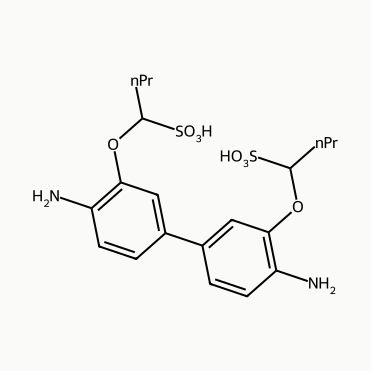 CCCC(Oc1cc(-c2ccc(N)c(OC(CCC)S(=O)(=O)O)c2)ccc1N)S(=O)(=O)O